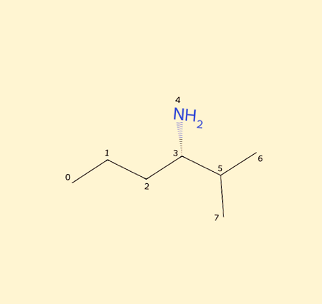 CCC[C@H](N)C(C)C